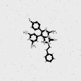 Cc1cc(-c2c(-c3ccc(F)cc3)nc(N)[n+]3c(=O)n(CCc4ccccc4)[nH]c23)cc(C)n1